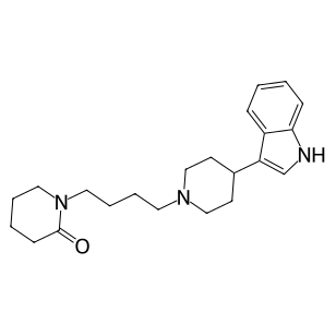 O=C1CCCCN1CCCCN1CCC(c2c[nH]c3ccccc23)CC1